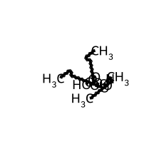 CCCCC/C=C\C/C=C\CCCCCCCC(=O)OCC(COC(O)CCCCCCC/C=C\C/C=C\CCCCC)OC(=O)CCC(CCCCCCCC)OC(=O)OC1CCN(C)CC1